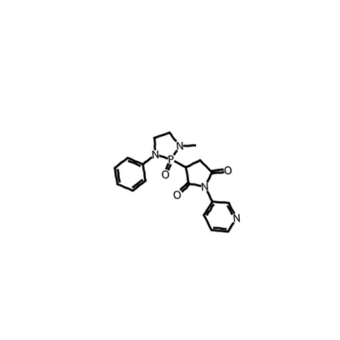 CN1CCN(c2ccccc2)P1(=O)C1CC(=O)N(c2cccnc2)C1=O